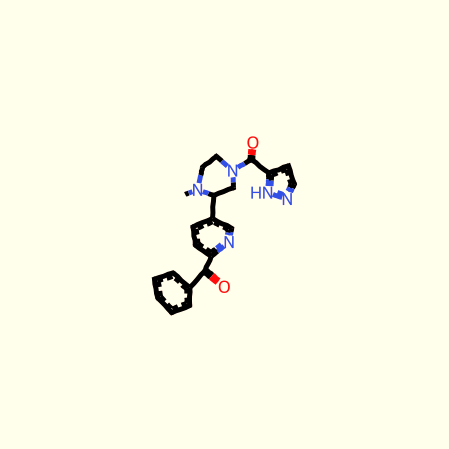 CN1CCN(C(=O)c2ccn[nH]2)CC1c1ccc(C(=O)c2ccccc2)nc1